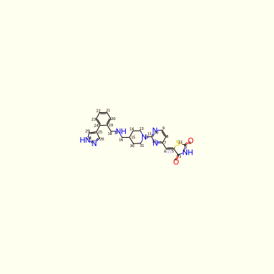 O=C1NC(=O)/C(=C/c2ccnc(N3CCC(CNCc4ccccc4-c4cn[nH]c4)CC3)n2)S1